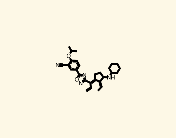 C=C/C(=C1/CCC(NC2CCCCC2)/C1=C/C)c1noc(-c2ccc(OC(C)C)c(C#N)c2)n1